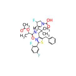 CC(=O)OC(C)C(=O)N(CC1CN(C(=O)O)CC1F)[C@@H](c1nc(-c2cc(F)ccc2F)sc1Cc1ccccc1)C(C)(C)C